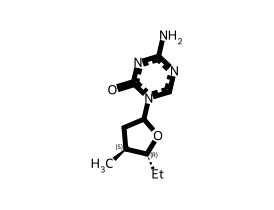 CC[C@H]1OC(n2cnc(N)nc2=O)C[C@@H]1C